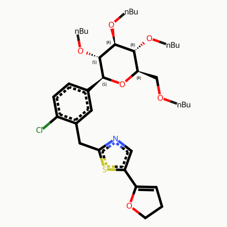 CCCCOC[C@H]1O[C@@H](c2ccc(Cl)c(Cc3ncc(C4=CCCO4)s3)c2)[C@H](OCCCC)[C@@H](OCCCC)[C@@H]1OCCCC